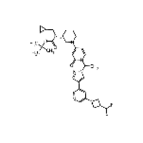 CC(n1cc(-c2cncc(N3CC(C(F)F)C3)c2)nn1)n1ccc(N2CCC[C@@H](N(CC3CC3)C(=O)OC(C)(C)C)C2)cc1=O